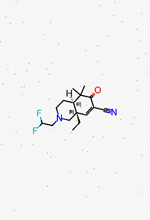 CC[C@]12C=C(C#N)C(=O)C(C)(C)[C@@H]1CCN(CC(F)F)C2